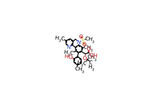 Cc1ccc(-c2c(C)c3c(c(C)c2[C@H](OC(C)(C)C)C(=O)O)N(S(C)(=O)=O)Cc2cc(C)cnc2-3)c(O)c1